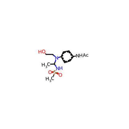 CC(=O)Nc1ccc(N(CCO)C(C)NS(C)(=O)=O)cc1